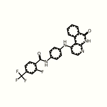 O=C(Nc1ccc(Nc2ccnc3[nH]c(=O)c4ccccc4c23)cc1)c1ccc(C(F)(F)F)cc1F